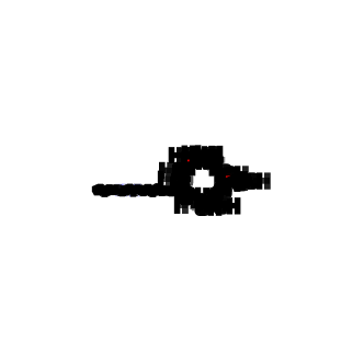 CCCCC/C=C/C/C=C/CCCCCCCC(=O)N[C@H]1C[C@@H](O)[C@@H](O)NC(=O)[C@@H]2[C@@H](O)[C@@H](C)CN2C(=O)[C@H]([C@@H](C)O)NC(=O)[C@H]([C@H](O)Cc2ccc(O)cc2)NC(=O)[C@@H]2C[C@@H](O)CN2C(=O)[C@H]([C@@H](C)O)NC1=O